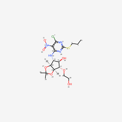 CCCSc1nc(Cl)c([N+](=O)[O-])c(N[C@@H]2[C@@H](O)[C@H](OCCO)[C@H]3OC(C)(C)O[C@@H]23)n1